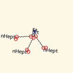 CCCCCCCC(=O)OCCCCCCCCCCOc1cc(CN(CC)CC)cc(OCCCCCCCCCCOC(=O)CCCCCCC)c1OCCCCCCCCCCOC(=O)CCCCCCC